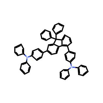 c1ccc(N(c2ccccc2)c2ccc(-c3ccc4c(c3)C(c3ccccc3)(c3ccccc3)c3cccc(-c5ccc(N(c6ccccc6)c6ccccc6)cc5)c3-4)cc2)cc1